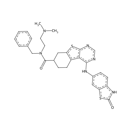 CN(C)CCN(Cc1ccccc1)C(=O)C1CCc2c(sc3ncnc(Nc4ccc5[nH]c(=O)sc5c4)c23)C1